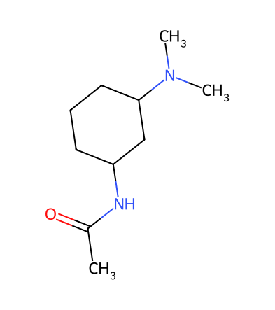 CC(=O)NC1CCCC(N(C)C)C1